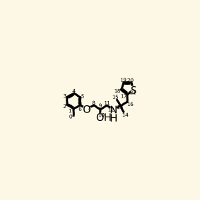 Cc1ccccc1OCC(O)CNC(C)(C)Cc1cccs1